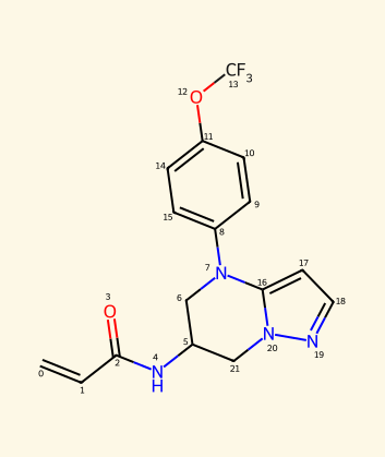 C=CC(=O)NC1CN(c2ccc(OC(F)(F)F)cc2)c2ccnn2C1